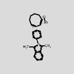 C1=C\CCCC\C=C/1.Cc1c2ccccc2c(C)p1-c1ccccc1.[Cl][Rh]